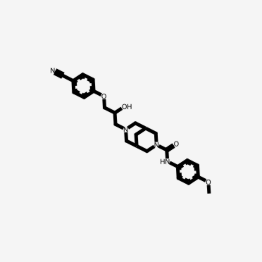 COc1ccc(NC(=O)N2CC3CC(CN(CC(O)COc4ccc(C#N)cc4)C3)C2)cc1